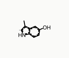 Cc1[c][nH]c2ccc(O)cc12